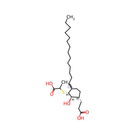 CCCCCCCCCCCCC/C=C1\CC[C@H](CCC(=O)O)[C@@H](O)[C@@H]1SC(C)C(=O)O